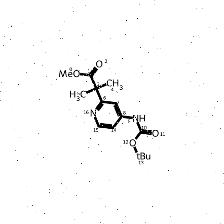 COC(=O)C(C)(C)c1cc(NC(=O)OC(C)(C)C)ccn1